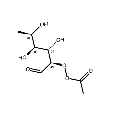 CC(=O)OO[C@@H](C=O)[C@@H](O)[C@@H](O)[C@@H](C)O